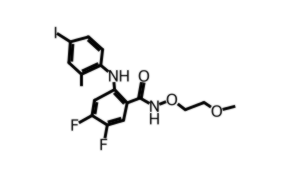 COCCONC(=O)c1cc(F)c(F)cc1Nc1ccc(I)cc1C